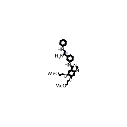 COCCOc1cc2ncnc(Nc3cccc(/C(N)=C/Nc4ccccc4)c3)c2cc1OCCOC